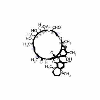 CC(=O)O[C@@H]1C[C@@H](C=O)/C=C/O[C@@]2(C)Oc3c(C)c(O)c4c(=O)c(c5oc6c7c(cc(O)c6nc-5c4c3C2=O)N(C)CCCN7C)NC(=O)/C(C)=C\C=C\[C@H](C)[C@H](O)[C@@H](C)[C@@H](O)[C@H]1C